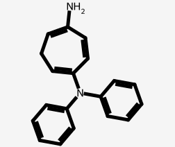 NC1=CCC=C(N(c2ccccc2)c2ccccc2)C=C1